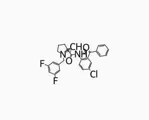 C[C@]1(C(=O)Nc2ccc(Cl)cc2C(=O)c2ccccc2)CCCN1Cc1cc(F)cc(F)c1